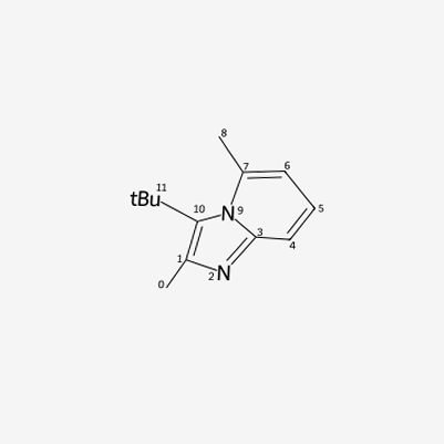 Cc1nc2cccc(C)n2c1C(C)(C)C